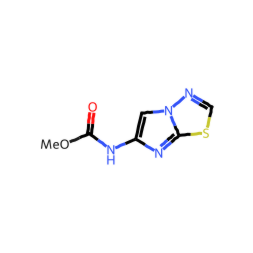 COC(=O)Nc1cn2ncsc2n1